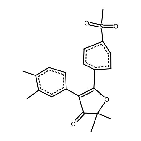 Cc1ccc(C2=C(c3ccc(S(C)(=O)=O)cc3)OC(C)(C)C2=O)cc1C